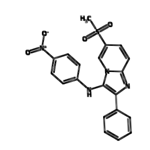 CS(=O)(=O)c1ccc2nc(-c3ccccc3)c(Nc3ccc([N+](=O)[O-])cc3)n2c1